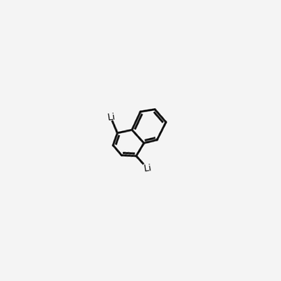 [Li][c]1cc[c]([Li])c2ccccc12